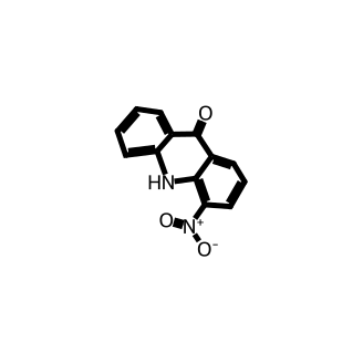 O=c1c2ccccc2[nH]c2c([N+](=O)[O-])cccc12